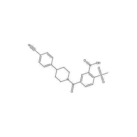 CS(=O)(=O)c1ccc(C(=O)N2CCC(c3ccc(C#N)cc3)CC2)cc1[N+](=O)O